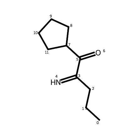 C[CH]CC(=N)C(=O)C1CCCC1